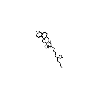 CCCCC(CCCCCCN(Cc1ccc2cnccc2c1)C(=O)O)OC